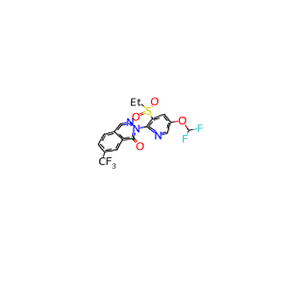 CCS(=O)(=O)c1cc(OC(F)F)cnc1-n1ncc2ccc(C(F)(F)F)cc2c1=O